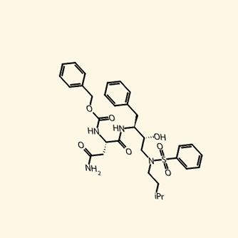 CC(C)CCN(C[C@@H](O)[C@H](Cc1ccccc1)NC(=O)[C@H](CC(N)=O)NC(=O)OCc1ccccc1)S(=O)(=O)c1ccccc1